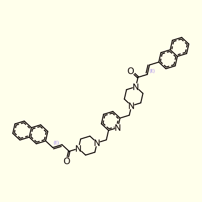 O=C(/C=C/c1ccc2ccccc2c1)N1CCN(Cc2cccc(CN3CCN(C(=O)/C=C/c4ccc5ccccc5c4)CC3)n2)CC1